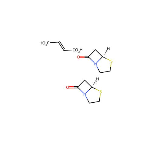 O=C(O)/C=C/C(=O)O.O=C1C[C@H]2SCCN12.O=C1C[C@H]2SCCN12